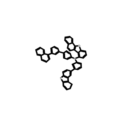 C1=Cc2sc3ccc(-c4cccc(N(c5ccc(-c6cccc(-c7cccc8ccccc78)c6)cc5)c5cccc6oc7c8ccccc8ccc7c56)c4)cc3c2CC1